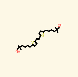 CC(C)(CO)CCCCc1ccc(/C=C/c2ccc(CCCCC(C)(C)CO)s2)s1